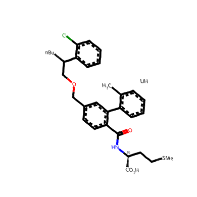 CCCCC(COCc1ccc(C(=O)N[C@@H](CCSC)C(=O)O)c(-c2ccccc2C)c1)c1ccccc1Cl.[LiH]